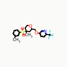 Cc1cccc(S(=O)(=O)C2(C)CCOC(COc3ccc(C(F)(F)F)nc3)C2)c1